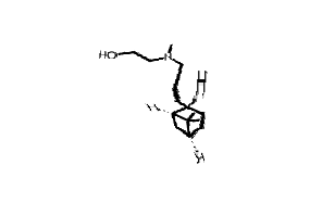 CN(CCO)CC[C@@H]1CC[C@H]2C[C@@H]1C2(C)C